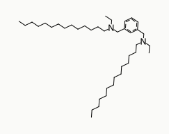 CCCCCCCCCCCCCCN(CC)Cc1cccc(CN(CC)CCCCCCCCCCCCCC)c1